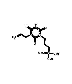 C=CCn1c(=O)[nH]c(=O)n(CCC[Si](OC)(OC)OC)c1=O